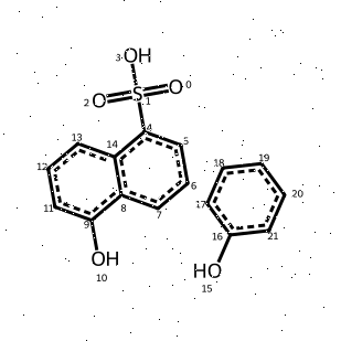 O=S(=O)(O)c1cccc2c(O)cccc12.Oc1ccccc1